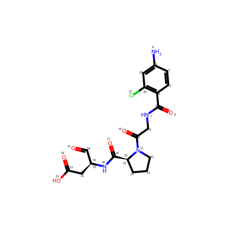 Nc1ccc(C(=O)NCC(=O)N2CCC[C@H]2C(=O)N[C@H](C=O)CC(=O)O)c(Cl)c1